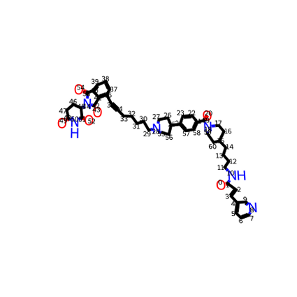 O=C(/C=C/c1cccnc1)NCCCCC1CCN(C(=O)c2ccc(C3CCN(CCCCCC#Cc4cccc5c4C(=O)N(C4CCC(=O)NC4=O)C5=O)CC3)cc2)CC1